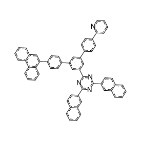 c1ccc(-c2ccc(-c3cc(-c4ccc(-c5cc6ccccc6c6ccccc56)cc4)cc(-c4nc(-c5ccc6ccccc6c5)nc(-c5ccc6ccccc6c5)n4)c3)cc2)nc1